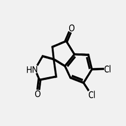 O=C1CC2(CN1)CC(=O)c1cc(Cl)c(Cl)cc12